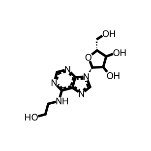 OCCNc1ncnc2c1ncn2[C@@H]1O[C@H](CO)C(O)C1O